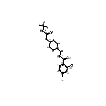 CC(C)(C)NC(=O)CN1CCC(CNC(=O)c2ccc(F)cc2Cl)CC1